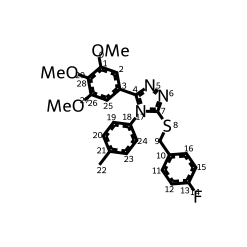 COc1cc(-c2nnc(SCc3ccc(F)cc3)n2-c2ccc(C)cc2)cc(OC)c1OC